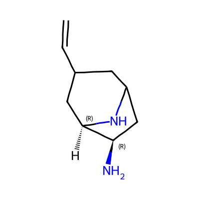 C=CC1CC2C[C@@H](N)[C@@H](C1)N2